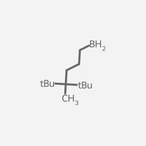 BCCCC(C)(C(C)(C)C)C(C)(C)C